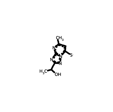 Cc1cc([S])n2nc(C(C)O)nc2n1